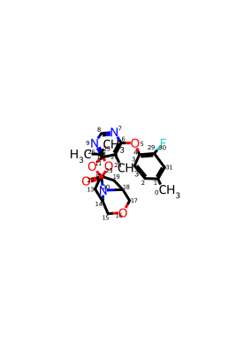 Cc1ccc(Oc2ncnc(OC3CC4COCC(C3)N4C(=O)OC(C)C)c2C)c(F)c1